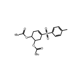 Cc1ccc(S(=O)(=O)C2=CCC(OC(=O)C(C)(C)C)C(OC(=O)C(C)(C)C)C2)cc1